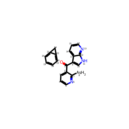 O=C(c1cccnc1[AsH2])c1c[nH]c2ncccc12.c1ccc2c(c1)C2